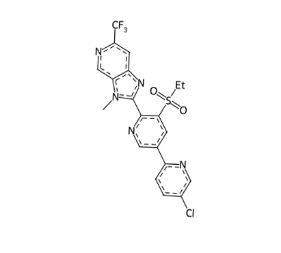 CCS(=O)(=O)c1cc(-c2ccc(Cl)cn2)cnc1-c1nc2cc(C(F)(F)F)ncc2n1C